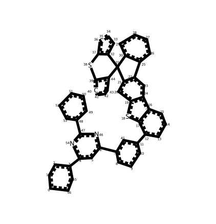 c1ccc(-c2cc(-c3cccc(-c4cccc5c4sc4cc6c(cc45)-c4ccccc4C64c5ccccc5Sc5ccccc54)c3)nc(-c3ccccc3)n2)cc1